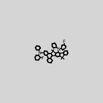 CC1(C)c2ccccc2-c2c1cc1c(c2N(c2ccccc2)c2cccc(F)c2)C(C)(C)c2c-1c1ccccc1c1cc(N(c3ccccc3)c3ccccc3F)ccc21